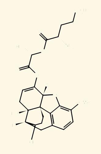 COc1ccc2c3c1O[C@H]1C(OC(=O)[C@H](C)OC(=O)[C@@H](N)CCC(=O)O)=CC[C@@]4(O)[C@@H](C2)C(C)CC[C@]314